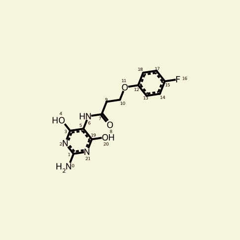 Nc1nc(O)c(NC(=O)CCOc2ccc(F)cc2)c(O)n1